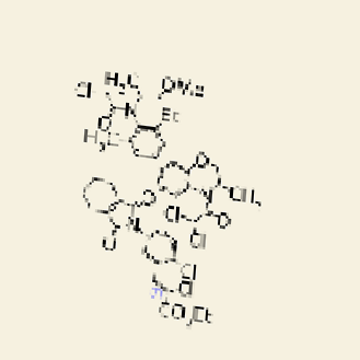 CC1COc2ccccc2N1C(=O)C(Cl)Cl.CCOC(=O)/C(Cl)=C/c1cc(N2C(=O)C3=C(CCCC3)C2=O)ccc1Cl.CCc1cccc(C)c1N(C(=O)CCl)C(C)COC